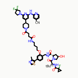 Cc1ncsc1-c1ccc(CNC(=O)[C@@H]2C[C@@H](O)CN2C(=O)[C@@H](NC(=O)C2(F)CC2)C(C)(C)C)c(OCCCCNC(=O)CCC(=O)N2CCC(c3cc(Nc4cc(C#N)ccn4)nc(N4CCC(F)(F)C4)c3)CC2)c1